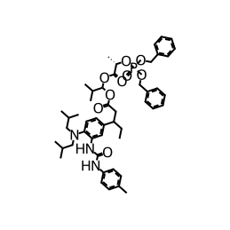 CCC(CC(=O)OC(OC(=O)[C@H](C)OP(=O)(OCc1ccccc1)OCc1ccccc1)C(C)C)c1ccc(N(CC(C)C)CC(C)C)c(NC(=O)Nc2ccc(C)cc2)c1